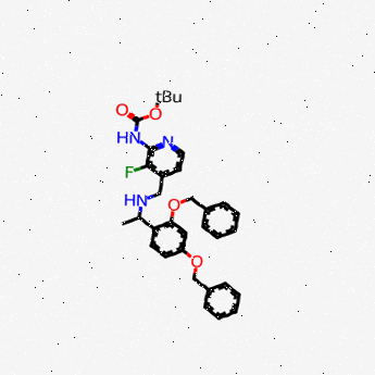 CC(NCc1ccnc(NC(=O)OC(C)(C)C)c1F)c1ccc(OCc2ccccc2)cc1OCc1ccccc1